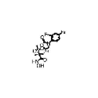 C[C@@](C[C@H]1CN(c2ccc(Br)cc2F)C(=O)O1)(C(=O)NO)S(C)(=O)=O